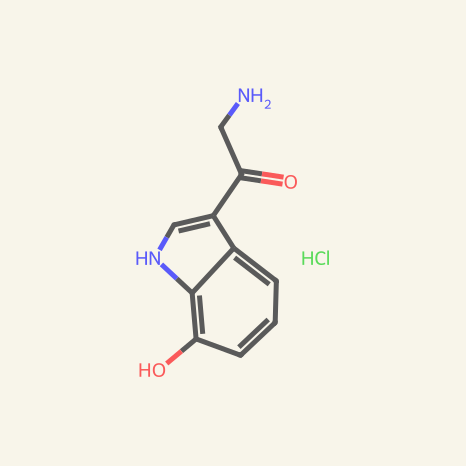 Cl.NCC(=O)c1c[nH]c2c(O)cccc12